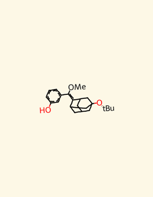 COC(=C1C2CC3CC1CC(OC(C)(C)C)(C3)C2)c1cccc(O)c1